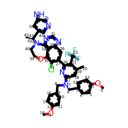 COc1ccc(CN(Cc2ccc(OC)cc2)c2cc(C)c(C(F)(F)F)c(-c3cc4ncnc5c4c(c3Cl)OCCN5[C@@H](C)c3cncc(N)c3)n2)cc1